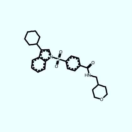 O=C(NCC1CCOCC1)c1ccc(S(=O)(=O)n2cc(C3CCCCC3)c3ccccc32)cc1